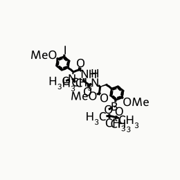 COC(=O)[C@H](Cc1ccc(OC)c(B2OC(C)(C)C(C)(C)O2)c1)NC(=O)[C@H](C)NC(=O)[C@H](c1ccc(OC)c(I)c1)N(C)C